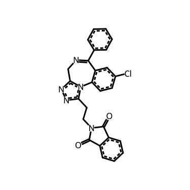 O=C1c2ccccc2C(=O)N1CCc1nnc2n1-c1ccc(Cl)cc1C(c1ccccc1)=NC2